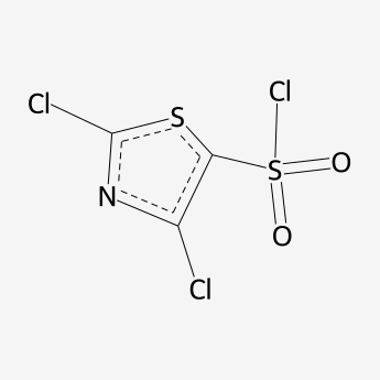 O=S(=O)(Cl)c1sc(Cl)nc1Cl